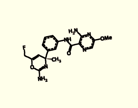 COc1cnc(C(=O)Nc2cccc([C@]3(C)C=C(CF)OC(N)=N3)c2)c(N)n1